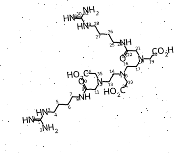 N=C(N)NCCCCNC(=O)CN(CCN(CCN(CC(=O)O)CC(=O)NCCCCNC(=N)N)CC(=O)O)CC(=O)O